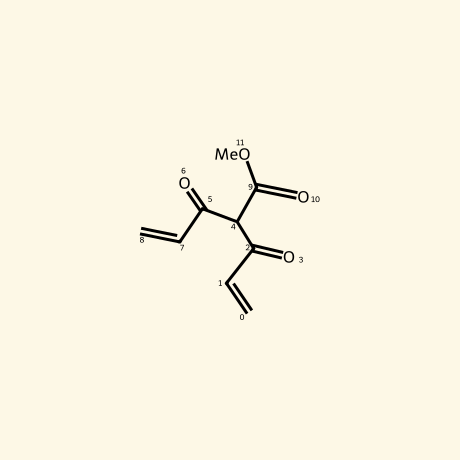 C=CC(=O)C(C(=O)C=C)C(=O)OC